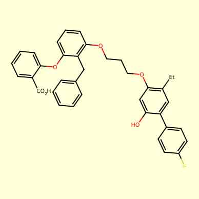 CCc1cc(-c2ccc(F)cc2)c(O)cc1OCCCOc1cccc(Oc2ccccc2C(=O)O)c1Cc1ccccc1